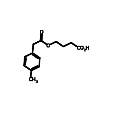 Cc1ccc(CC(=O)OCCCC(=O)O)cc1